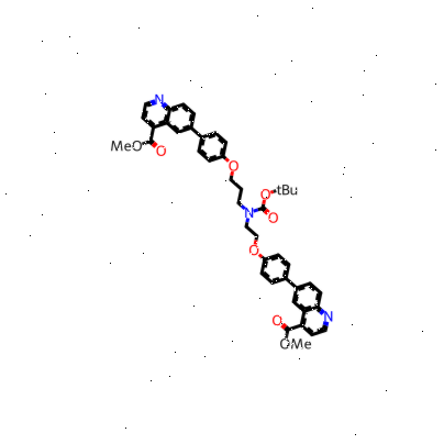 COC(=O)c1ccnc2ccc(-c3ccc(OCCCN(CCOc4ccc(-c5ccc6nccc(C(=O)OC)c6c5)cc4)C(=O)OC(C)(C)C)cc3)cc12